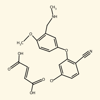 CNCc1cc(Oc2cc(Cl)ccc2C#N)ccc1OC.O=C(O)/C=C/C(=O)O